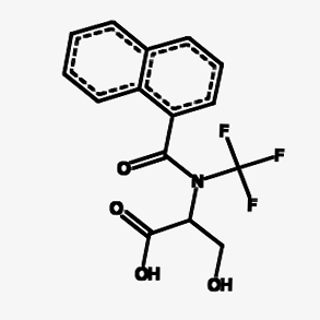 O=C(O)C(CO)N(C(=O)c1cccc2ccccc12)C(F)(F)F